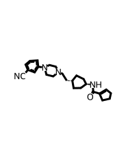 N#Cc1cccc(N2CCN(CC[C@H]3CC[C@H](NC(=O)C4=CCCC4)CC3)CC2)c1